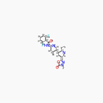 CCc1ncc(-c2nn(C)c(=O)o2)cc1-c1cnc(NC(=O)c2c(F)cccc2F)cc1C